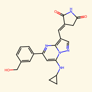 O=C1C/C(=C\c2cnn3c(NC4CC4)cc(-c4cccc(CO)c4)nc23)C(=O)N1